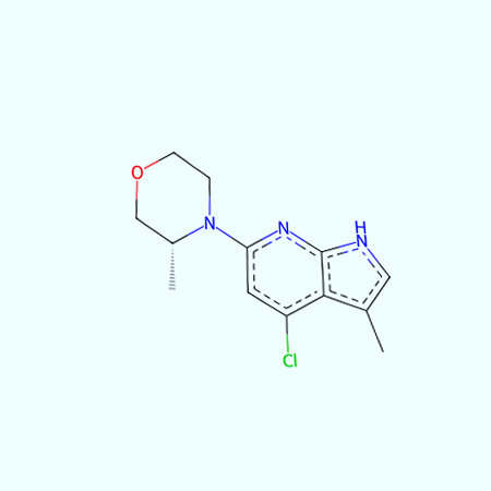 Cc1c[nH]c2nc(N3CCOC[C@H]3C)cc(Cl)c12